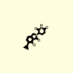 O=C1CCC(N2Cc3ccc(C4CC4)c(Cl)c3C2=O)C(=O)N1